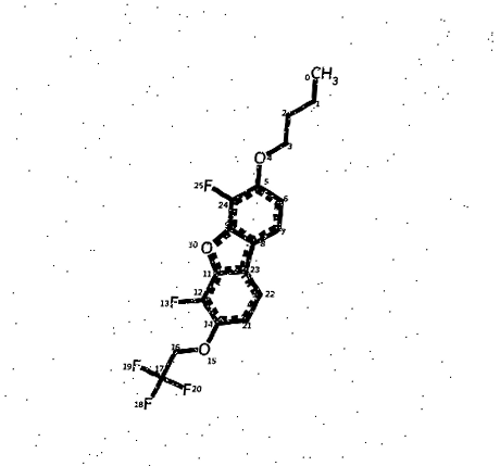 CCCCOc1ccc2c(oc3c(F)c(OCC(F)(F)F)ccc32)c1F